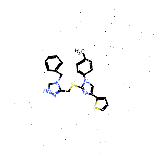 Cc1ccc(-n2cc(-c3cccs3)nc2SCC2=NNCN2Cc2ccccc2)cc1